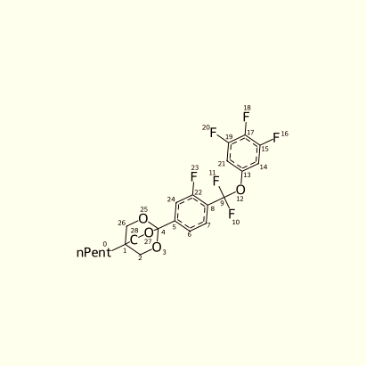 CCCCCC12COC(c3ccc(C(F)(F)Oc4cc(F)c(F)c(F)c4)c(F)c3)(OC1)OC2